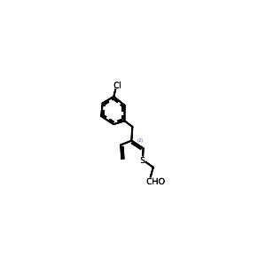 C=C/C(=C\SCC=O)Cc1cccc(Cl)c1